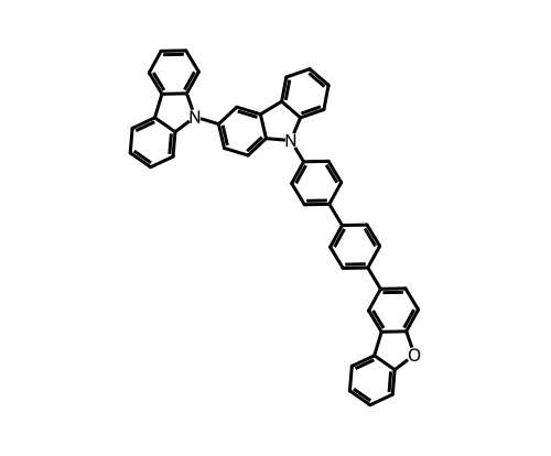 c1ccc2c(c1)oc1ccc(-c3ccc(-c4ccc(-n5c6ccccc6c6cc(-n7c8ccccc8c8ccccc87)ccc65)cc4)cc3)cc12